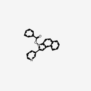 O=C(On1c(-c2cccnc2)cc2c3ccccc3ccc21)c1ccccc1